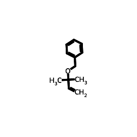 C=CC(C)(C)OCc1ccccc1